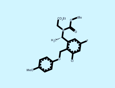 CCOC(=O)CN(C(=O)OC(C)(C)C)[C@@H](C)c1cc(F)cc(Cl)c1COc1ccc(OC)cc1